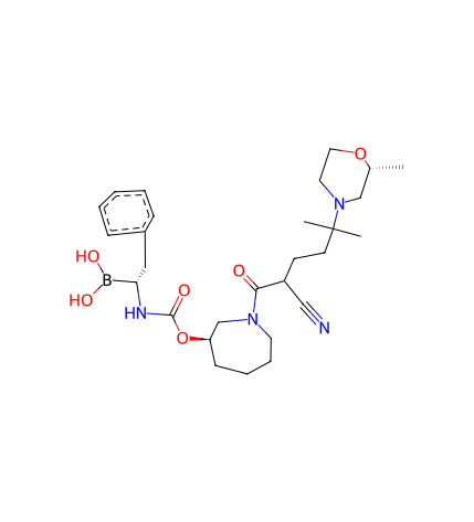 C[C@@H]1CN(C(C)(C)CCC(C#N)C(=O)N2CCCC[C@@H](OC(=O)N[C@@H](Cc3ccccc3)B(O)O)C2)CCO1